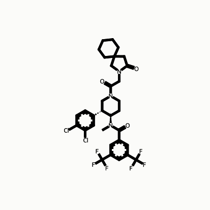 CN(C(=O)c1cc(C(F)(F)F)cc(C(F)(F)F)c1)[C@@H]1CCN(C(=O)CN2CC3(CCCCC3)CC2=O)C[C@H]1c1ccc(Cl)c(Cl)c1